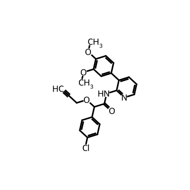 C#CCOC(C(=O)Nc1ncccc1-c1ccc(OC)c(OC)c1)c1ccc(Cl)cc1